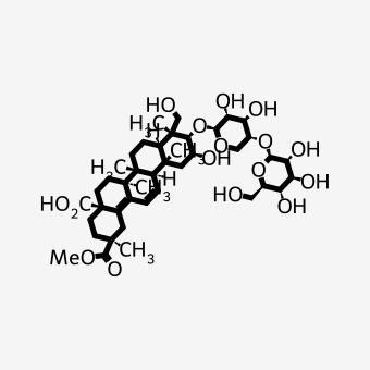 COC(=O)[C@@]1(C)CC[C@]2(C(=O)O)CC[C@]3(C)C(=C2C1)C=C[C@@H]1[C@@]2(C)C[C@H](O)[C@H](O[C@@H]4OC[C@@H](O[C@@H]5O[C@H](CO)[C@@H](O)[C@H](O)[C@H]5O)[C@H](O)[C@H]4O)[C@@](C)(CO)[C@@H]2CC[C@]13C